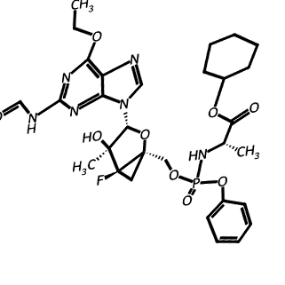 CCOc1nc(NC=O)nc2c1ncn2[C@@H]1O[C@@]2(COP(=O)(N[C@@H](C)C(=O)OC3CCCCC3)Oc3ccccc3)C[C@]2(F)[C@@]1(C)O